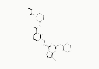 C=CC(=O)N1CCCC(NC(=O)c2cccc(CNc3nc(NC4CCOCC4)nc4c(C(C)C)cnn34)c2)C1